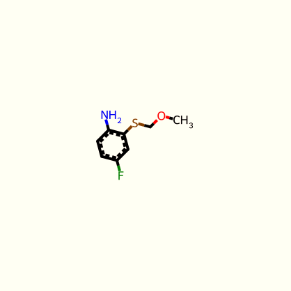 COCSc1cc(F)ccc1N